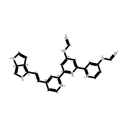 O=COc1ccnc(-c2cc(OC=O)cc(-c3cc(/C=C/c4scc5sccc45)ccn3)n2)c1